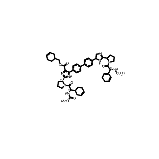 COC(=O)N[C@@H](C(=O)N1CCC[C@H]1c1nc(C(=O)OCC2CC=CCC2)c(-c2ccc(-c3ccc(C4CN=C(C5CCCN5C(=O)[C@H](NC(=O)O)C5=CCCC=C5)N4)cc3)cc2)[nH]1)C1CC=CCC1